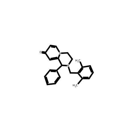 Cc1cccc(C)c1CN1CCn2ccc(=O)cc2C1c1ccccc1